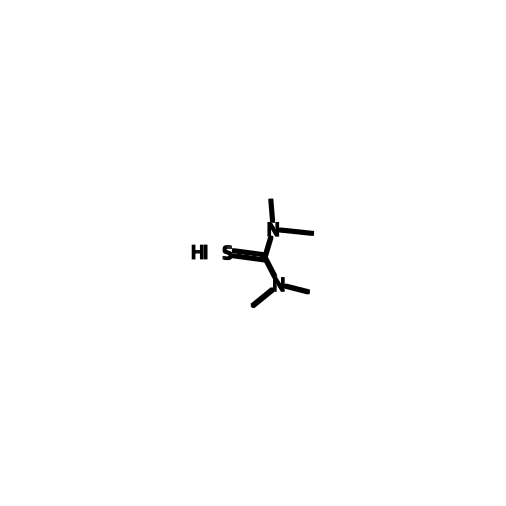 CN(C)C(=S)N(C)C.I